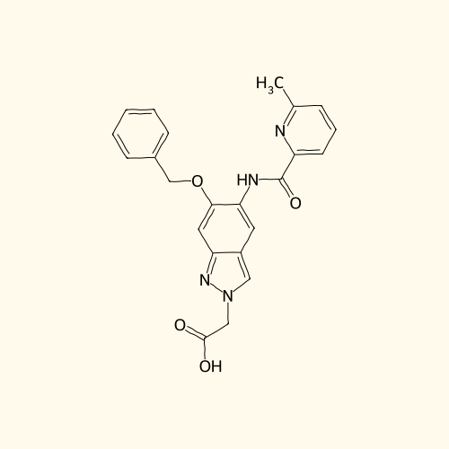 Cc1cccc(C(=O)Nc2cc3cn(CC(=O)O)nc3cc2OCc2ccccc2)n1